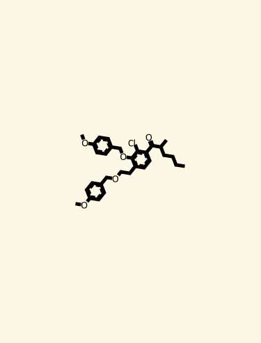 CCCCC(C)C(=O)c1ccc(CCOCc2ccc(OC)cc2)c(OCc2ccc(OC)cc2)c1Cl